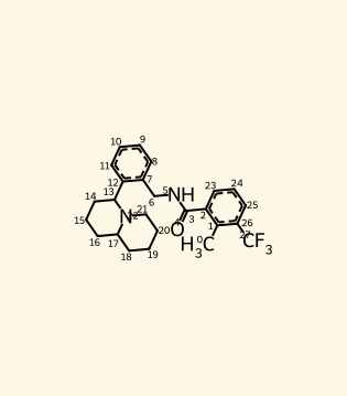 Cc1c(C(=O)NCc2ccccc2C2CCCC3CCCCN32)cccc1C(F)(F)F